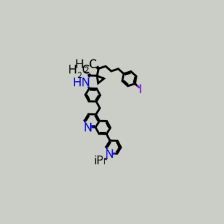 C=C(CCCc1ccc(I)cc1)C1(C(=C)Nc2ccc(Cc3ccnc4cc(C5=CN(C(C)C)C=C=C5)ccc34)cc2)CC1